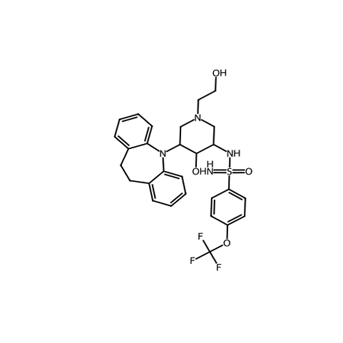 N=S(=O)(NC1CN(CCO)CC(N2c3ccccc3CCc3ccccc32)C1O)c1ccc(OC(F)(F)F)cc1